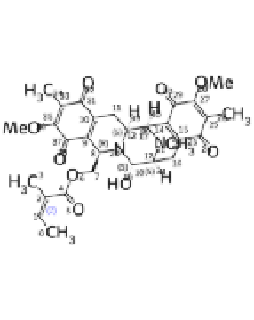 C/C=C(/C)C(=O)OC[C@H]1C2=C(C[C@H]3[C@H]4C5=C(C[C@@H]([C@H](O)N13)N4C)C(=O)C(C)=C(OC)C5=O)C(=O)C(C)=C(OC)C2=O